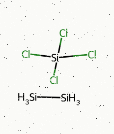 Cl[Si](Cl)(Cl)Cl.[SiH3][SiH3]